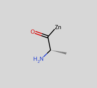 C[C@H](N)[C](=O)[Zn]